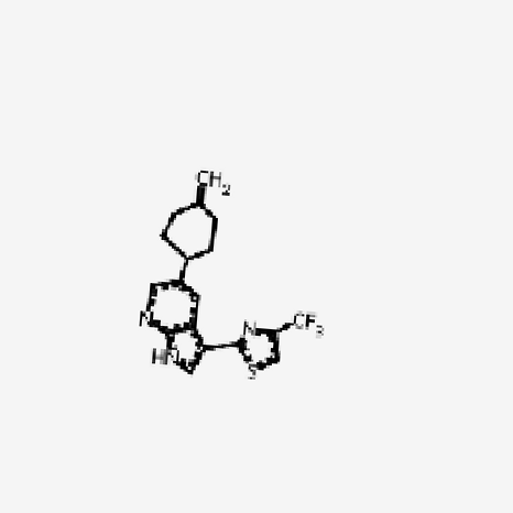 C=C1CCC(c2cnc3[nH]cc(-c4nc(C(F)(F)F)cs4)c3c2)CC1